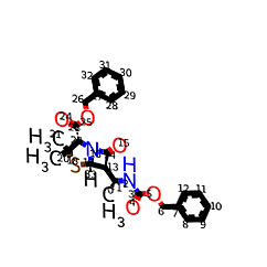 C[C@H](NC(=O)OCc1ccccc1)[C@@H]1C(=O)N2[C@@H]1SC(C)(C)[C@@H]2C(=O)OCc1ccccc1